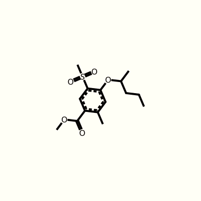 CCCC(C)Oc1cc(C)c(C(=O)OC)cc1S(C)(=O)=O